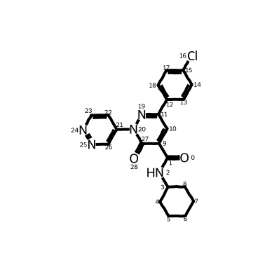 O=C(NC1CCCCC1)c1cc(-c2ccc(Cl)cc2)nn(-c2ccnnc2)c1=O